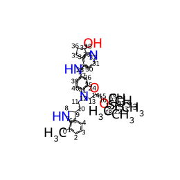 Cc1cccc2c1NCC2CCN1CC(CO[Si](C)(C)C(C)(C)C)Oc2cc(Nc3ccnc4c3CCC4O)ccc21